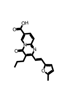 CCCc1c(/C=C/c2ccc(C)o2)nc2ccc(C(=O)O)cn2c1=O